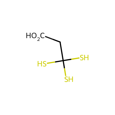 O=C(O)CC(S)(S)S